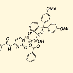 COc1ccc(C(O[C@@H]2CO[C@@H](n3ccc(NC(=O)c4ccccc4)nc3=O)[C@H](OC(=O)c3ccccc3)[C@@H]2O)(c2ccccc2)c2ccc(OC)cc2)cc1